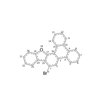 Brc1cc2c3ccccc3c3ccccc3c2c2oc3ccccc3c12